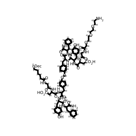 CCCCCCCCCCCCCCCC(=O)NCC(=O)NC(CC(=O)O)C(=O)NC(Cc1ccc(OOc2ccc(CC(NC(=O)C(Cc3ccc(O)cc3)NC(=O)C(CC(=O)O)NC(=O)CNC(=O)COCCOCCOCCN)C(=O)NC(Cc3ccccc3)C(N)=O)cc2)cc1)C(=O)NC(Cc1ccc(O)cc1)C(=O)NC(Cc1ccccc1)C(N)=O